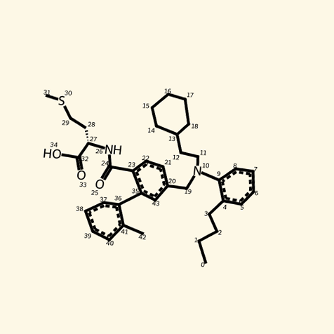 CCCCc1ccccc1N(CCC1CCCCC1)Cc1ccc(C(=O)N[C@@H](CCSC)C(=O)O)c(-c2ccccc2C)c1